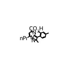 CCCc1cc(C(=O)O)nc2c(-c3ccc(C)cc3C)c(C)nn12